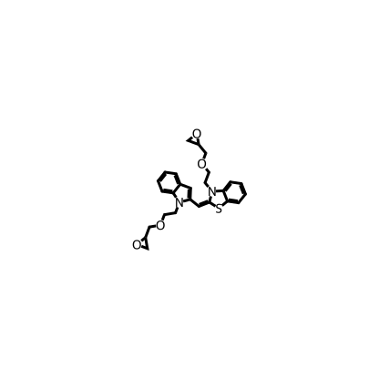 C(=C1Sc2ccccc2N1CCOCC1CO1)c1cc2ccccc2n1CCOCC1CO1